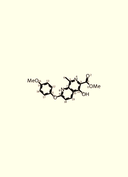 COC(=O)c1nc(C)c2nc(Oc3ccc(OC)cc3)ccc2c1O